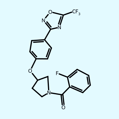 O=C(c1ccccc1F)N1CCC(Oc2ccc(-c3noc(C(F)(F)F)n3)cc2)C1